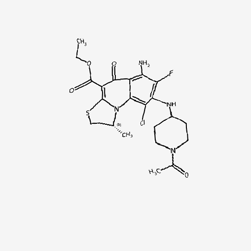 CCOC(=O)c1c2n(c3c(Cl)c(NC4CCN(C(C)=O)CC4)c(F)c(N)c3c1=O)[C@H](C)CS2